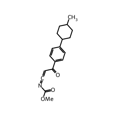 COC(=O)N=C=CC(=O)c1ccc(C2CCC(C)CC2)cc1